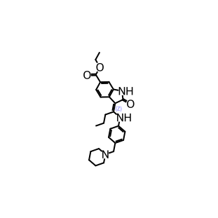 CCC/C(Nc1ccc(CN2CCCCC2)cc1)=C1/C(=O)Nc2cc(C(=O)OCC)ccc21